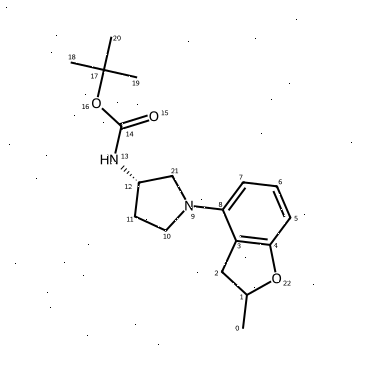 CC1Cc2c(cccc2N2CC[C@H](NC(=O)OC(C)(C)C)C2)O1